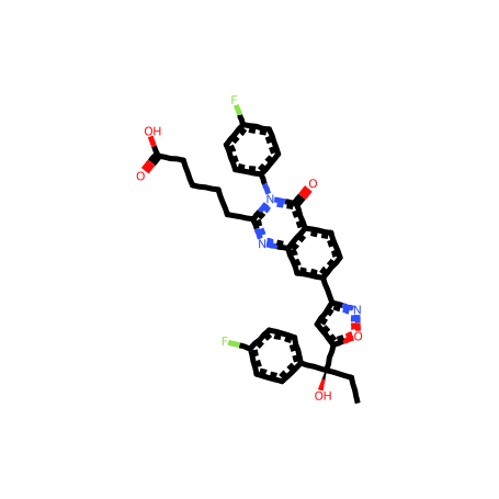 CC[C@](O)(c1ccc(F)cc1)c1cc(-c2ccc3c(=O)n(-c4ccc(F)cc4)c(CCCCC(=O)O)nc3c2)no1